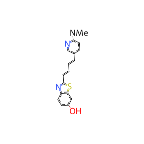 CNc1ccc(C=CC=Cc2nc3ccc(O)cc3s2)cn1